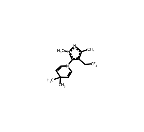 Cc1nn(C)c(N2C=CC(C)(C)C=C2)c1CC(F)(F)F